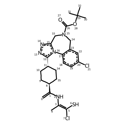 C=C(N/C(C)=C(\S)Cl)[C@H]1CC[C@H](c2nnc3n2-c2ccc(Cl)cc2CN(C(=O)OC(C)(C)C)C3)CC1